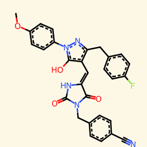 COc1ccc(-n2nc(Cc3ccc(F)cc3)c(/C=C3\NC(=O)N(Cc4ccc(C#N)cc4)C3=O)c2O)cc1